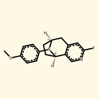 COc1ccc(N2[C@H]3CC[C@@H]2c2cnc(F)cc2C3)cc1